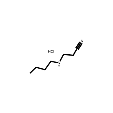 CCCCNCCC#N.Cl